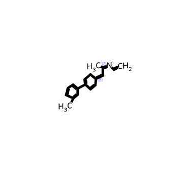 C=C/N=C(C)\C=C1\C=CC(c2cccc(C)c2)=CC1